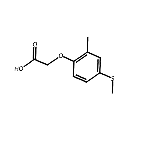 CSc1ccc(OCC(=O)O)c(C)c1